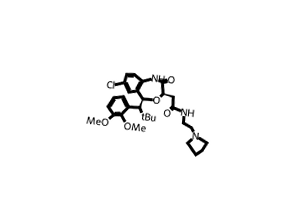 COc1cccc(C([C@@H]2O[C@H](CC(=O)NCCN3CCCC3)C(=O)Nc3ccc(Cl)cc32)C(C)(C)C)c1OC